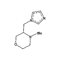 CC(C)(C)N1CCOCC1Cn1ccnc1